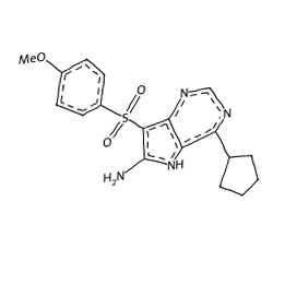 COc1ccc(S(=O)(=O)c2c(N)[nH]c3c(C4CCCC4)ncnc23)cc1